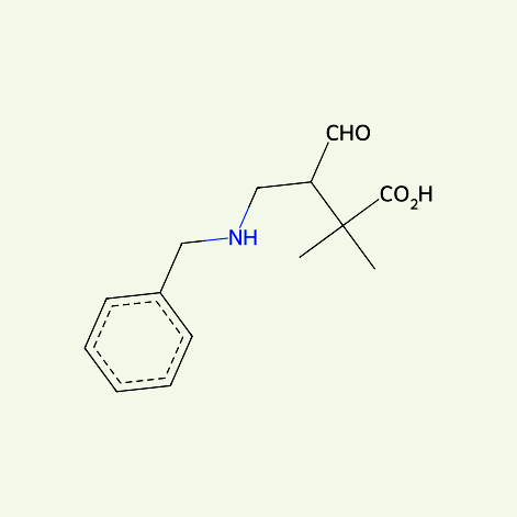 CC(C)(C(=O)O)C(C=O)CNCc1ccccc1